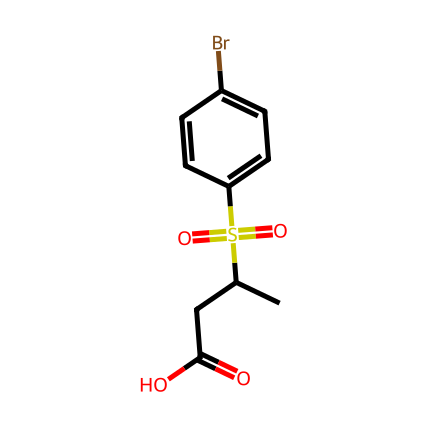 CC(CC(=O)O)S(=O)(=O)c1ccc(Br)cc1